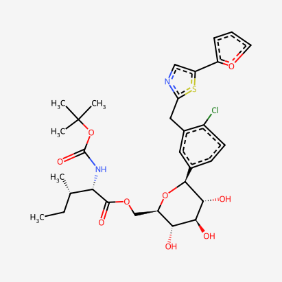 CC[C@H](C)[C@H](NC(=O)OC(C)(C)C)C(=O)OC[C@H]1O[C@@H](c2ccc(Cl)c(Cc3ncc(-c4ccco4)s3)c2)[C@H](O)[C@@H](O)[C@@H]1O